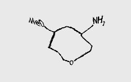 COC1CCOCC(N)C1